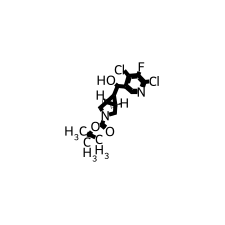 CC(C)(C)OC(=O)N1C[C@@H]2C(C(O)c3cnc(Cl)c(F)c3Cl)[C@@H]2C1